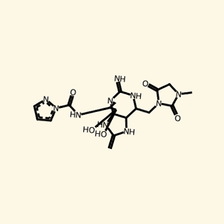 C=C1NC2C(CN3C(=O)CN(C)C3=O)NC(=N)N3CC(NC(=O)n4cccn4)C(O)(O)C23N1